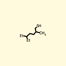 CCC(CC)CCC(C)CS